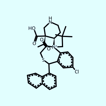 CC(=O)[C@@]1(C(=O)O)CNCC[C@H]1[N+]1(CC(C)(C)C)C(=O)CSC(c2cccc3ccccc23)c2cc(Cl)ccc21